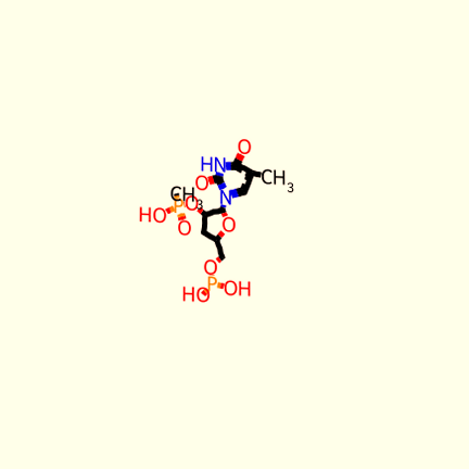 Cc1cn(C2OC(COP(O)O)CC2OP(C)(=O)O)c(=O)[nH]c1=O